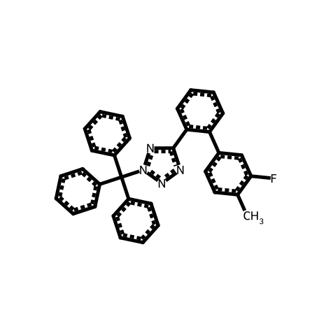 Cc1ccc(-c2ccccc2-c2nnn(C(c3ccccc3)(c3ccccc3)c3ccccc3)n2)cc1F